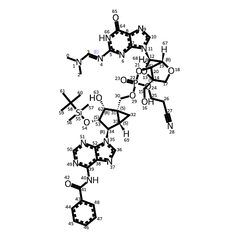 CN(C)/C=N/c1nc2c(ncn2[C@@H]2O[C@@]3(CO)CO[C@@H]2[C@@H]3OP(=O)(OCCC#N)OC[C@]23C[C@@H]2[C@@H](n2cnc4c(NC(=O)c5ccccc5)ncnc42)[C@H](O[Si](C)(C)C(C)(C)C)[C@@H]3O)c(=O)[nH]1